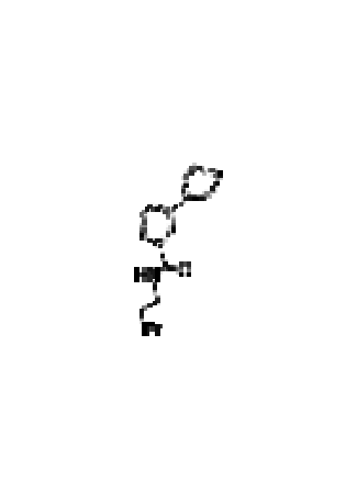 CC(C)CCNC(=O)c1cccc(-c2ccccc2)c1